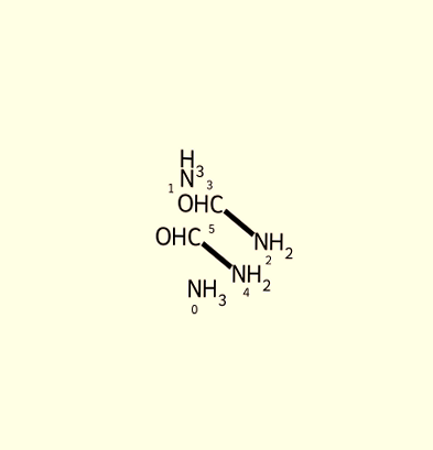 N.N.NC=O.NC=O